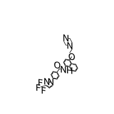 CN1CCN(CCOc2ccc(NC(=O)c3ccc(-n4ccc(C(F)(F)F)n4)cc3)c3ccccc23)CC1